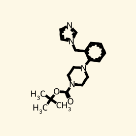 CC(C)(C)OC(=O)N1CCN(c2ccccc2Cn2ccnc2)CC1